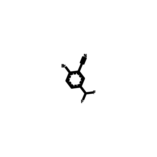 N#Cc1cc(C(F)F)ccc1Br